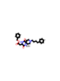 CCCN1C(=O)C(CC(=O)OCc2ccccc2)NC(=O)C12CCN(CCCCc1ccccc1)CC2